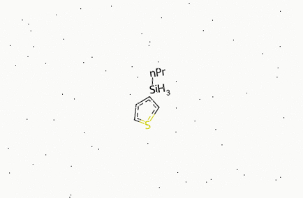 CCC[SiH3].c1ccsc1